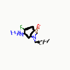 C#CCN1C[S+]([O-])c2cc(F)c(NN)cc21